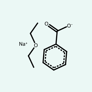 CCOCC.O=C([O-])c1ccccc1.[Na+]